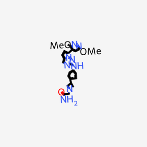 COc1cc(-c2ccc3cnc(Nc4ccc(C5CN(CC(N)=O)C5)cc4)nn23)c(OC)nn1